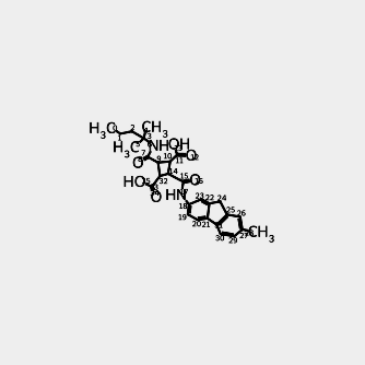 CCCC(C)(C)NC(=O)C1C(C(=O)O)C(C(=O)Nc2ccc3c(c2)Cc2cc(C)ccc2-3)C1C(=O)O